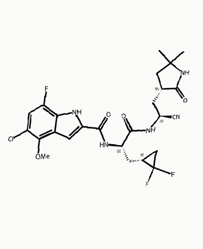 COc1c(Cl)cc(F)c2[nH]c(C(=O)N[C@@H](C[C@@H]3CC3(F)F)C(=O)N[C@H](C#N)C[C@@H]3CC(C)(C)NC3=O)cc12